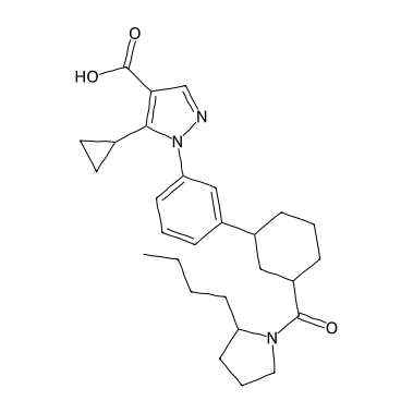 CCCCC1CCCN1C(=O)C1CCCC(c2cccc(-n3ncc(C(=O)O)c3C3CC3)c2)C1